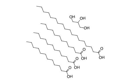 CCCCCCCCCCCC(=O)O.CCCCCCCCCCCC(=O)O.CCCCCCCCCCCC(=O)O.CCCCCCCCCCCCCCCCCC(=O)O.OCC(O)CO